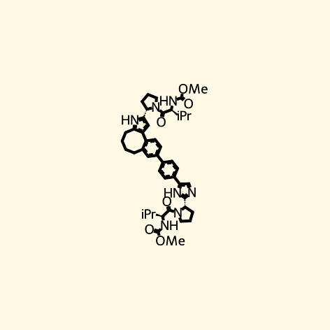 COC(=O)N[C@H](C(=O)N1CCC[C@H]1c1cc2c([nH]1)CCCCc1cc(-c3ccc(-c4cnc([C@@H]5CCCN5C(=O)[C@@H](NC(=O)OC)C(C)C)[nH]4)cc3)ccc1-2)C(C)C